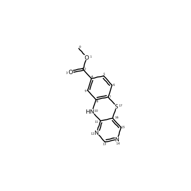 COC(=O)c1ccc2c(c1)Nc1ncncc1S2